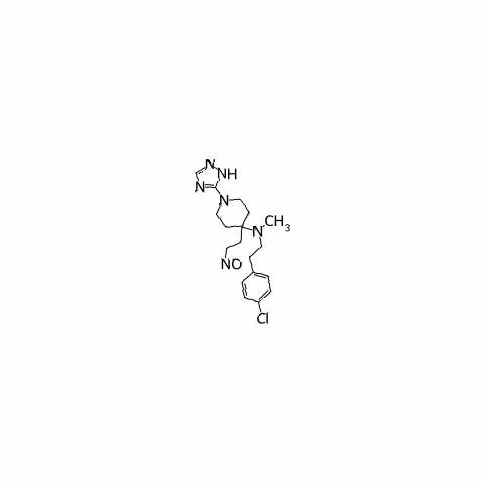 CN(CCc1ccc(Cl)cc1)C1(CCN=O)CCN(c2ncn[nH]2)CC1